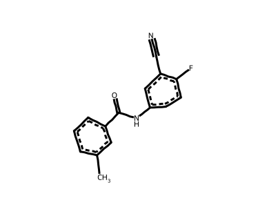 Cc1cccc(C(=O)Nc2ccc(F)c(C#N)c2)c1